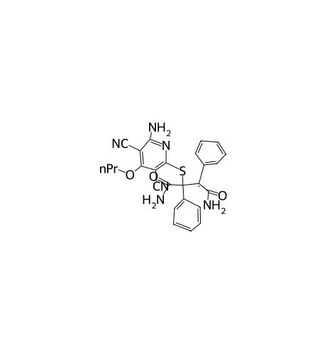 CCCOc1c(C#N)c(N)nc(SC([C](C(N)=O)c2ccccc2)(C(N)=O)c2ccccc2)c1C#N